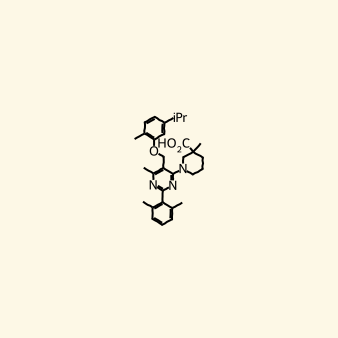 Cc1ccc(C(C)C)cc1OCc1c(C)nc(-c2c(C)cccc2C)nc1N1CCCC(C)(C(=O)O)C1